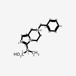 CN(C(=O)O)c1ncc2n1CCN(Cc1ccccc1)C2